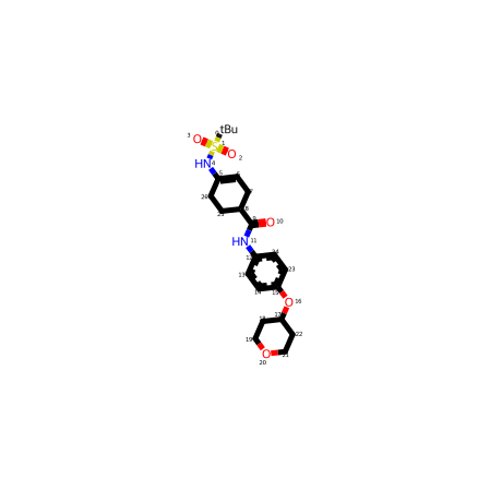 CC(C)(C)S(=O)(=O)NC1=CCC(C(=O)Nc2ccc(OC3CCOCC3)cc2)CC1